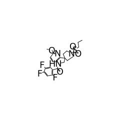 CCCS(=O)(=O)N1CCC(CNC(=O)c2cc(F)c(F)cc2F)(c2cccc(OC)n2)CC1